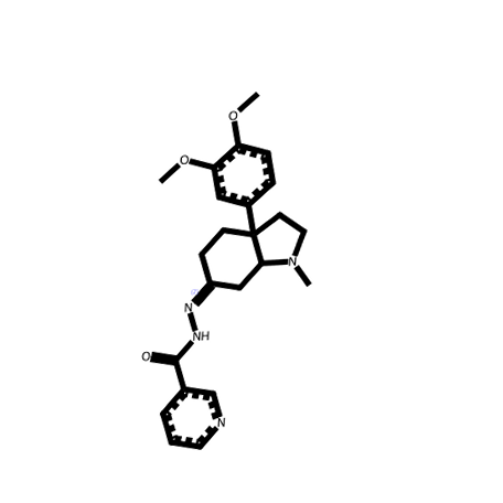 COc1ccc(C23CC/C(=N/NC(=O)c4cccnc4)CC2N(C)CC3)cc1OC